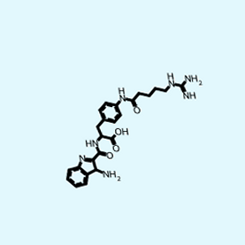 N=C(N)NCCCCC(=O)Nc1ccc(CC(NC(=O)C2=Nc3ccccc3C2N)C(=O)O)cc1